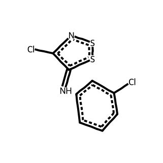 Clc1ccccc1.N=c1ssnc1Cl